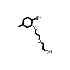 CC1CCC(C(C)C)[C@H](OCCOCCO)C1